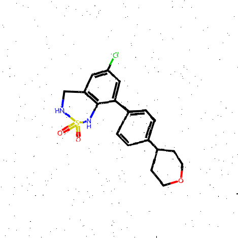 O=S1(=O)NCc2cc(Cl)cc(-c3ccc(C4CCOCC4)cc3)c2N1